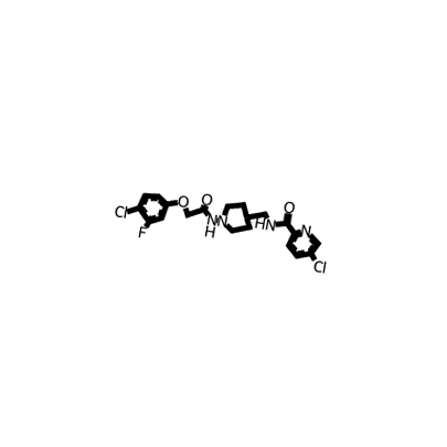 O=C(COc1ccc(Cl)c(F)c1)NN1CCC(CNC(=O)c2ccc(Cl)cn2)CC1